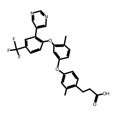 Cc1cc(Oc2ccc(C)c(Oc3ccc(C(F)(F)F)cc3-c3cncnc3)c2)ccc1CCC(=O)O